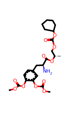 COC(=O)Oc1ccc(C[C@H](N)C(=O)O[C@@H](C)COC(=O)OC2CCCCC2)cc1OC(=O)OC